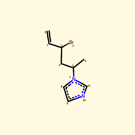 C=CC(Br)CC(C)n1ccnc1